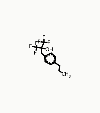 CCCc1ccc(CC(O)(C(F)(F)F)C(F)(F)F)cc1